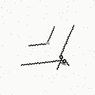 CCCCCCCCCCCCCCCCCCCCCCCCCCCCC=CC(C(=C=[N+]=[N-])CCCCCC)=C(c1ccc(CCCC)cc1)c1ccc(CCCCCCCCCCCCCCCCCCCCCCCCC)cc1.CCCCCCCCCCCCC[CH2][Pd][CH2]CCCCCCCCCCCCC